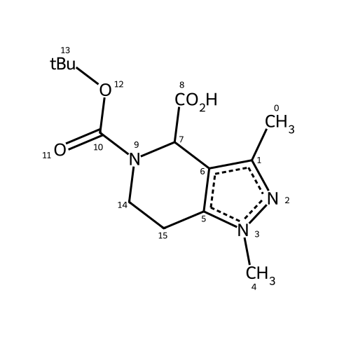 Cc1nn(C)c2c1C(C(=O)O)N(C(=O)OC(C)(C)C)CC2